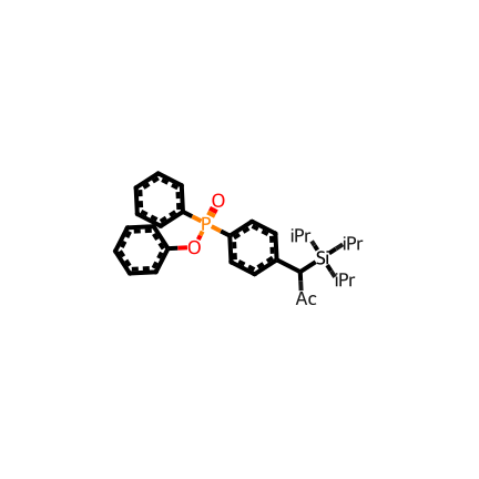 CC(=O)C(c1ccc(P(=O)(Oc2ccccc2)c2ccccc2)cc1)[Si](C(C)C)(C(C)C)C(C)C